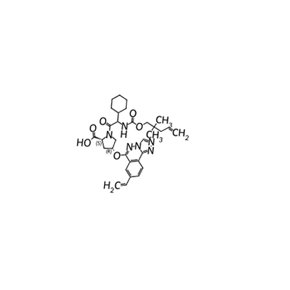 C=CCC(C)(C)COC(=O)NC(C(=O)N1C[C@H](Oc2nn3cnnc3c3ccc(C=C)cc23)C[C@H]1C(=O)O)C1CCCCC1